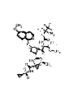 C=C[C@@H]1C[C@]1(NC(=O)[C@@H]1C[C@@H](Oc2nccc3cc(OC)ccc23)CN1C(=O)[C@@H](NC(=O)OC(C)(C)C(F)(F)F)[C@H](C)OC)C(=O)NS(=O)(=O)C1CC1